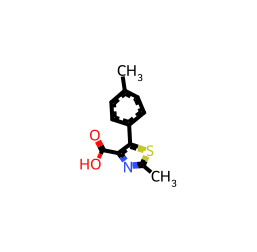 Cc1ccc(-c2sc(C)nc2C(=O)O)cc1